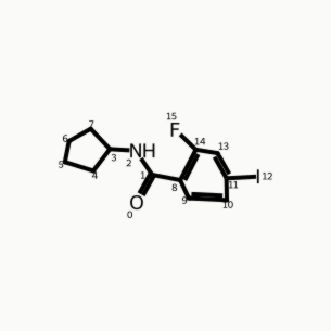 O=C(NC1CCCC1)c1ccc(I)cc1F